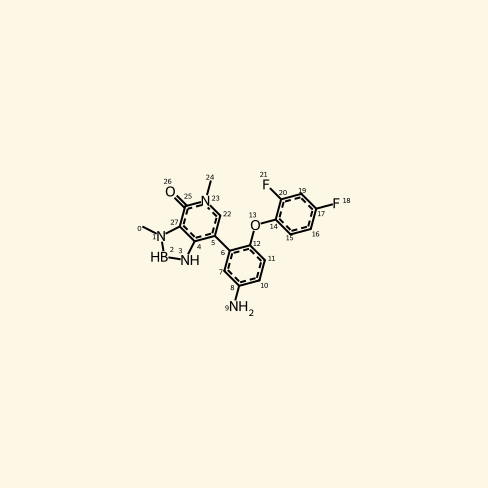 CN1BNc2c(-c3cc(N)ccc3Oc3ccc(F)cc3F)cn(C)c(=O)c21